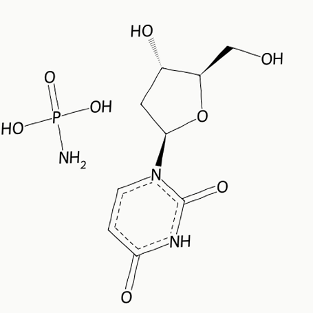 NP(=O)(O)O.O=c1ccn([C@H]2C[C@H](O)[C@@H](CO)O2)c(=O)[nH]1